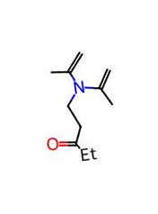 C=C(C)N(CCC(=O)CC)C(=C)C